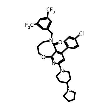 O=C1c2c(-c3ccc(Cl)cc3)cc(N3CCC(N4CCCC4)CC3)nc2OCCCN1Cc1cc(C(F)(F)F)cc(C(F)(F)F)c1